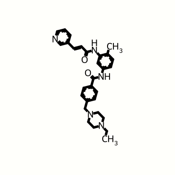 CCN1CCN(Cc2ccc(C(=O)Nc3ccc(C)c(NC(=O)C=Cc4cccnc4)c3)cc2)CC1